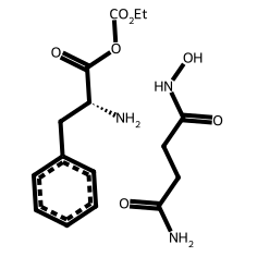 CCOC(=O)OC(=O)[C@H](N)Cc1ccccc1.NC(=O)CCC(=O)NO